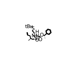 C=CC[C@H](C)CS(=O)(=NCCSC(C)(C)C)NC(=O)O[C@@H](C)c1ccccc1